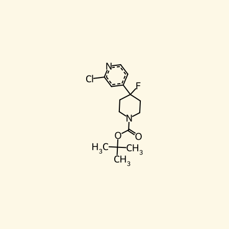 CC(C)(C)OC(=O)N1CCC(F)(c2ccnc(Cl)c2)CC1